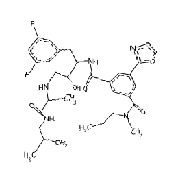 CCCN(C)C(=O)c1cc(C(=O)NC(Cc2cc(F)cc(F)c2)C(O)CNC(C)C(=O)NCC(C)C)cc(-c2ncco2)c1